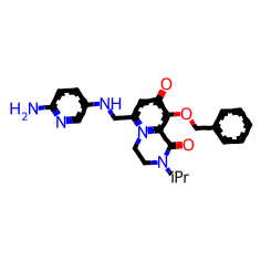 CC(C)N1CCn2c(CNc3ccc(N)nc3)cc(=O)c(OCc3ccccc3)c2C1=O